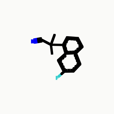 CC(C)(C#N)c1cccc2ccc(F)cc12